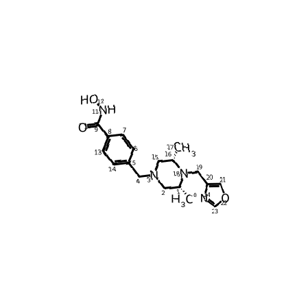 C[C@@H]1CN(Cc2ccc(C(=O)NO)cc2)C[C@H](C)N1Cc1cocn1